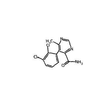 Cc1ncnc(C(N)=O)c1-c1cccc(Cl)c1Cl